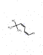 CC/C=C\C=C/C(C)(C)C#N